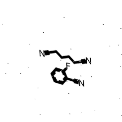 N#CCCCCC#N.N#Cc1ccccc1F